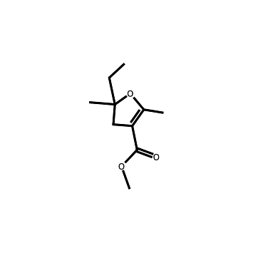 CCC1(C)CC(C(=O)OC)=C(C)O1